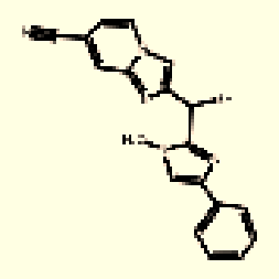 Cn1cc(-c2ccccc2)nc1C(S)c1cn2ccc(C#N)cc2n1